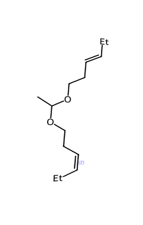 CCC=CCCOC(C)OCC/C=C\CC